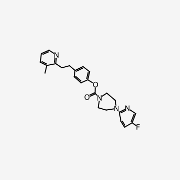 Cc1cccnc1CCc1ccc(OC(=O)N2CCN(c3ccc(F)cn3)CC2)cc1